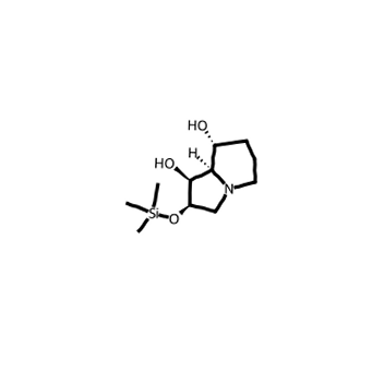 C[Si](C)(C)O[C@@H]1CN2CCC[C@@H](O)[C@@H]2[C@@H]1O